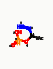 CC(=O)C(N=N)O[PH](=O)O